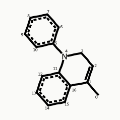 CC1=CCN(c2ccccc2)c2ccccc21